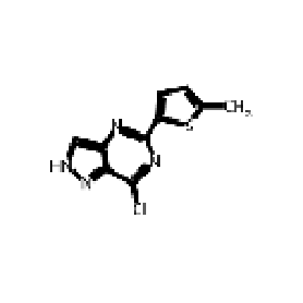 Cc1ccc(-c2nc(Cl)c3n[nH]cc3n2)s1